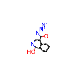 [N-]=[N+]=NC(=O)c1cnc(O)c2ccccc12